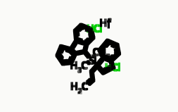 C=CCC1([Si](C)(C)C2c3ccccc3-c3ccccc32)C=Cc2ccccc21.Cl.Cl.[Hf]